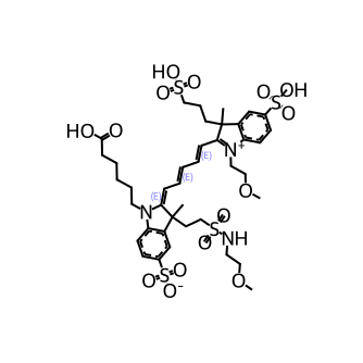 COCCNS(=O)(=O)CCC1(C)\C(=C/C=C/C=C/C2=[N+](CCOC)c3ccc(S(=O)(=O)O)cc3C2(C)CCCS(=O)(=O)O)N(CCCCCC(=O)O)c2ccc(S(=O)(=O)[O-])cc21